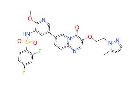 COc1ncc(-c2ccc3ncc(OCCn4nccc4C)c(=O)n3c2)cc1NS(=O)(=O)c1ccc(F)cc1F